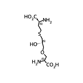 N[C@@H](CCSC[C@@H](O)COC[C@H](N)C(=O)O)C(=O)O